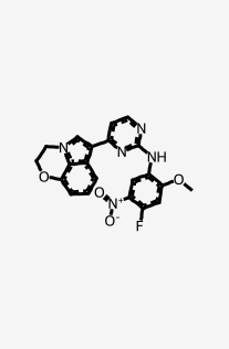 COc1cc(F)c([N+](=O)[O-])cc1Nc1nccc(-c2cn3c4c(cccc24)OCC3)n1